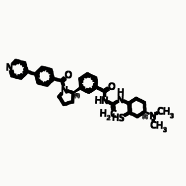 C=C(NC(=O)c1cccc([C@H]2CCCN2C(=O)c2ccc(-c3ccncc3)cc2)c1)NC1=C(S)C[C@@H](N(C)C)CC1